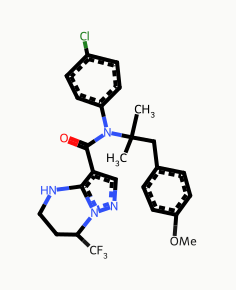 COc1ccc(CC(C)(C)N(C(=O)c2cnn3c2NCCC3C(F)(F)F)c2ccc(Cl)cc2)cc1